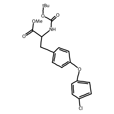 COC(=O)C(Cc1ccc(Oc2ccc(Cl)cc2)cc1)NC(=O)OC(C)(C)C